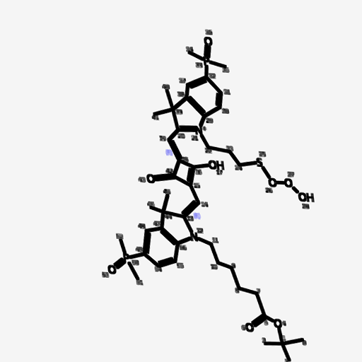 CC(C)(C)OC(=O)CCCCCN1/C(=C/C2=C(O)C(=C\C3=[N+](CCCSOOO)c4ccc(P(C)(C)=O)cc4C3(C)C)/C2=O)C(C)(C)c2cc(P(C)(C)=O)ccc21